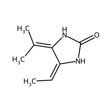 C/C=c1/[nH]c(=O)[nH]c1=C(C)C